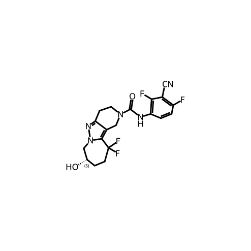 N#Cc1c(F)ccc(NC(=O)N2CCc3nn4c(c3C2)C(F)(F)CC[C@H](O)C4)c1F